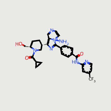 N[N+]12C=CN=CC1=C([C@H]1CC[C@@H](CO)N(C(=O)C3CC3)C1)N=C2c1ccc(C(=O)Nc2cc(C(F)(F)F)ccn2)cc1